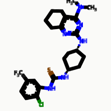 CN(C)c1nc(N[C@H]2CC[C@@H](NC(=S)Nc3cc(C(F)(F)F)ccc3Cl)CC2)nc2c1CCCC2